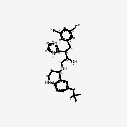 CC(C)(C)Cc1ccc2c(c1)C(NCC(O)C(Cc1cc(F)cc(F)c1)c1ncc[nH]1)CCN2